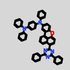 c1ccc(-c2nc(-c3ccccc3)nc(-c3ccc4c5c(cccc35)-c3cc(N(c5ccccc5)c5ccc(N(c6ccccc6)c6ccccc6)cc5)ccc3O4)n2)cc1